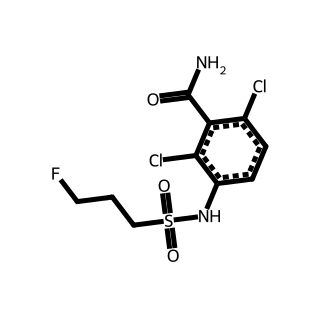 NC(=O)c1c(Cl)ccc(NS(=O)(=O)CCCF)c1Cl